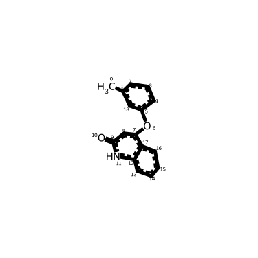 Cc1cccc(Oc2cc(=O)[nH]c3ccccc23)c1